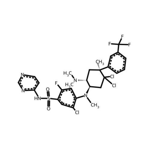 CN(C)[C@@H]1C[C@@](C)(c2cccc(C(F)(F)F)c2)C(Cl)(Cl)C[C@H]1N(C)c1cc(F)c(S(=O)(=O)Nc2ccncn2)cc1Cl